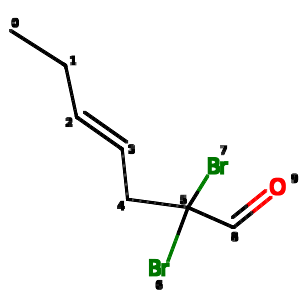 CCC=CCC(Br)(Br)C=O